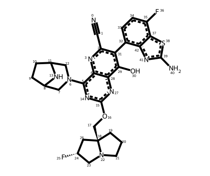 N#Cc1nc2c(N3CC4CCC(C3)N4)nc(OC[C@@]34CCCN3C[C@H](F)C4)nc2c(O)c1-c1ccc(F)c2sc(N)nc12